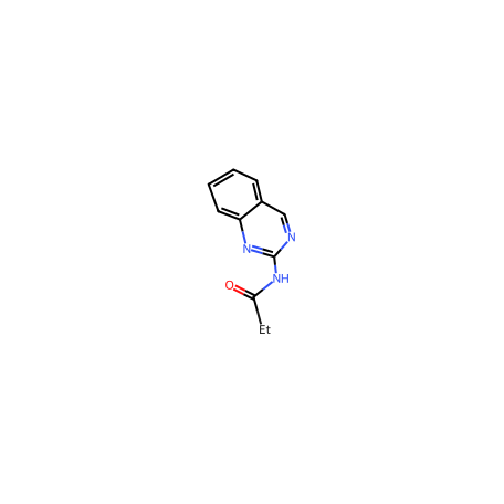 CCC(=O)Nc1ncc2ccccc2n1